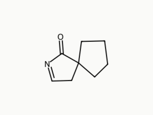 O=C1N=CCC12CCCC2